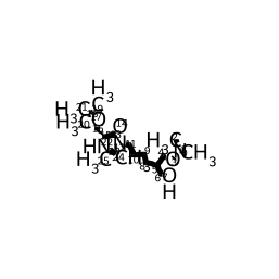 CN(C)OCC(CO)CCCCN1C(=O)[C@H](COC(C)(C)C)NC1(C)C